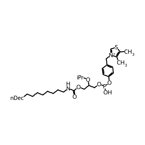 CCCCCCCCCCCCCCCCCCNC(=O)OCC(COP(O)Oc1ccc(C[n+]2csc(C)c2C)cc1)OC(C)C